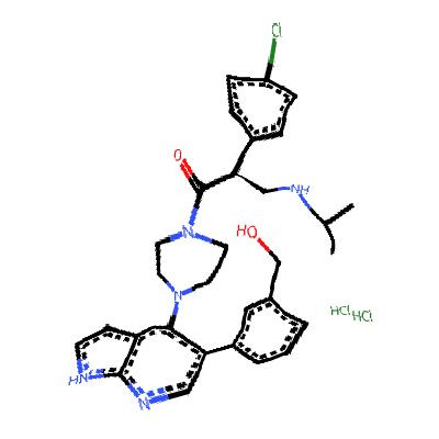 CC(C)NC[C@@H](C(=O)N1CCN(c2c(-c3cccc(CO)c3)cnc3[nH]ccc23)CC1)c1ccc(Cl)cc1.Cl.Cl